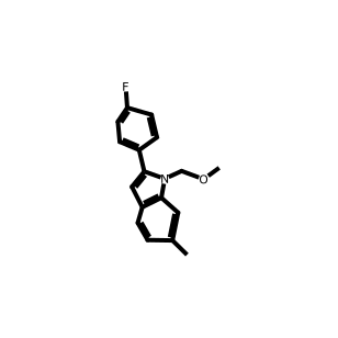 COCn1c(-c2ccc(F)cc2)cc2ccc(C)cc21